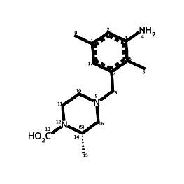 Cc1cc(N)c(C)c(CN2CCN(C(=O)O)[C@@H](C)C2)c1